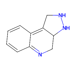 c1ccc2c(c1)=NCC1NNCC=21